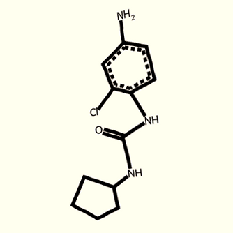 Nc1ccc(NC(=O)NC2CCCC2)c(Cl)c1